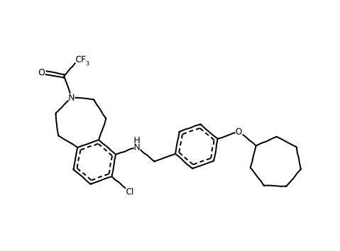 O=C(N1CCc2ccc(Cl)c(NCc3ccc(OC4CCCCCC4)cc3)c2CC1)C(F)(F)F